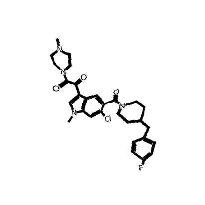 CN1CCN(C(=O)C(=O)c2cn(C)c3cc(Cl)c(C(=O)N4CCC(Cc5ccc(F)cc5)CC4)cc23)CC1